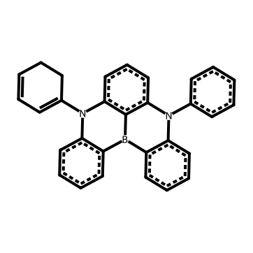 C1=CCCC(N2c3ccccc3B3c4ccccc4N(c4ccccc4)c4cccc2c43)=C1